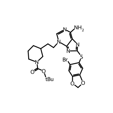 CC(C)(C)OC(=O)N1CCCC(CCn2cnc(N)c3nc(Sc4cc5c(cc4Br)OCO5)nc2-3)C1